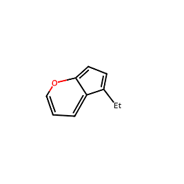 CCc1ccc2occcc1-2